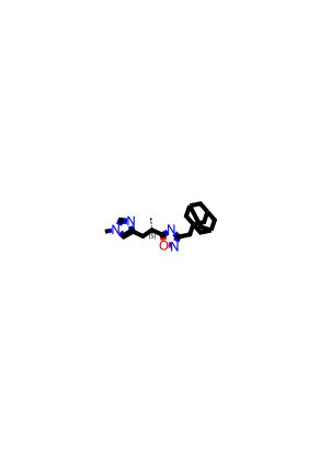 C[C@@H](Cc1cn(C)cn1)c1nc(CC23CC4CC(CC(C4)C2)C3)no1